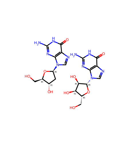 Nc1nc2c(ncn2[C@@H]2O[C@H](CO)[C@@H](O)[C@H]2O)c(=O)[nH]1.Nc1nc2c(ncn2[C@H]2C[C@H](O)[C@@H](CO)O2)c(=O)[nH]1